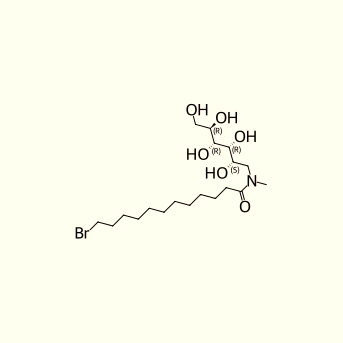 CN(C[C@H](O)[C@@H](O)[C@H](O)[C@H](O)CO)C(=O)CCCCCCCCCCCBr